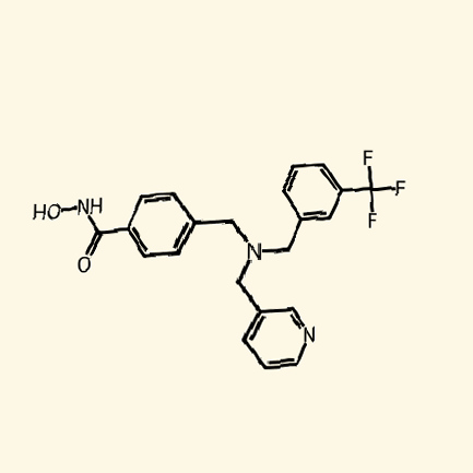 O=C(NO)c1ccc(CN(Cc2cccnc2)Cc2cccc(C(F)(F)F)c2)cc1